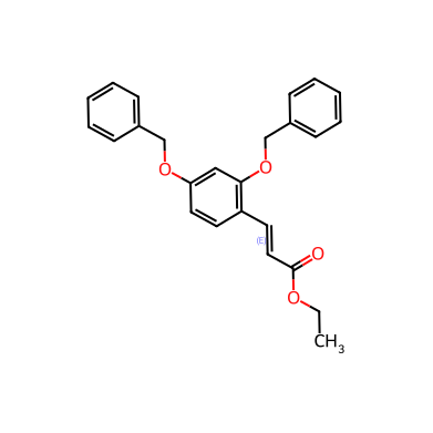 CCOC(=O)/C=C/c1ccc(OCc2ccccc2)cc1OCc1ccccc1